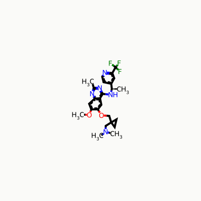 COc1cc2nc(C)nc(N[C@H](C)c3ccnc(C(F)(F)F)c3)c2cc1OCC1(CN(C)C)CC1